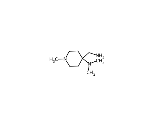 CN1CCC(CN)(N(C)C)CC1